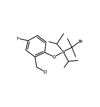 CC(C)[Si](Oc1ccc(F)cc1CCl)(C(C)C)C(C)(C)Br